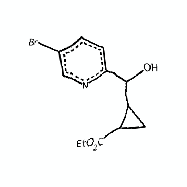 CCOC(=O)C1CC1C(O)c1ccc(Br)cn1